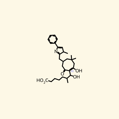 CC1C=C(c2ccccc2)N=C1CC1CC(=O)/C(C(O)C(C)CCCCC(=O)O)=C(/O)CC(C)(C)C1